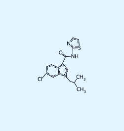 CC(C)Cn1cc(C(=O)Nc2nccs2)c2ccc(Cl)cc21